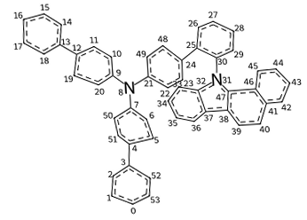 c1ccc(-c2ccc(N(c3ccc(-c4ccccc4)cc3)c3ccc(-c4ccccc4-n4c5ccccc5c5ccc6ccccc6c54)cc3)cc2)cc1